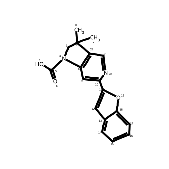 CC1(C)CN(C(=O)O)c2cc(-c3cc4ccccc4o3)ncc21